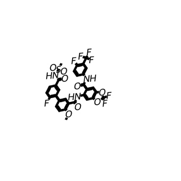 COc1ccc(-c2cc(C(=O)NS(C)(=O)=O)ccc2F)cc1C(=O)Nc1cc2c(cc1C(=O)Nc1ccc(F)c(C(F)(F)F)c1)OC(F)(F)O2